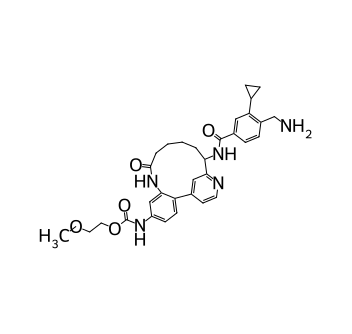 COCCOC(=O)Nc1ccc2c(c1)NC(=O)CCCCC(NC(=O)c1ccc(CN)c(C3CC3)c1)c1cc-2ccn1